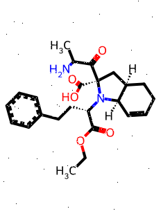 CCOC(=O)[C@H](CCc1ccccc1)N1[C@@H]2C=CCC[C@@H]2C[C@]1(C(=O)O)C(=O)C(C)N